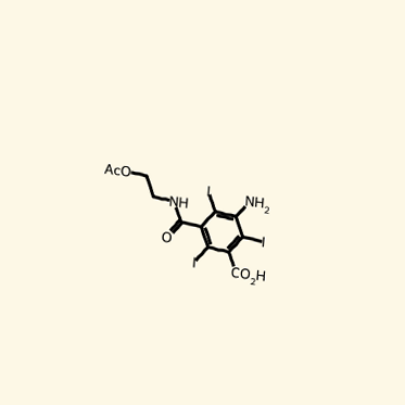 CC(=O)OCCNC(=O)c1c(I)c(N)c(I)c(C(=O)O)c1I